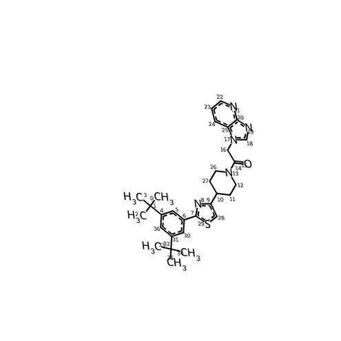 CC(C)(C)c1cc(-c2nc(C3CCN(C(=O)Cn4cnc5ncccc54)CC3)cs2)cc(C(C)(C)C)c1